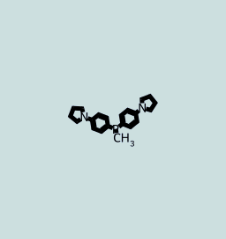 CP(c1ccc(N2CCCC2)cc1)c1ccc(N2CCCC2)cc1